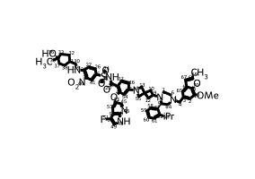 COc1cc(CN2CCN(C3CC4(C3)CN(c3ccc(C(=O)NS(=O)(=O)c5ccc(NCC6CCC(C)(O)CC6)c([N+](=O)[O-])c5)c(Oc5cnc6[nH]cc(F)c6c5)c3)C4)[C@H](c3ccccc3C(C)C)C2)cc2cc(C)oc12